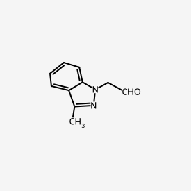 Cc1nn(CC=O)c2ccccc12